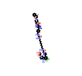 C[C@H](CC(=O)N1CCC(O)(Cn2cnc3c(-c4ccc(CNCC(=O)NCCCCCCCCCNC(=O)Cn5ccc(-c6cc(Cl)c(Cl)c7[nH]c8c(c67)CN(C(=O)CO)CC8)n5)cc4)n(C)nc3c2=O)CC1)c1ccccc1